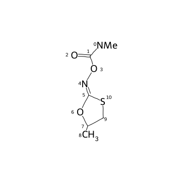 CNC(=O)O/N=C1/OC(C)CS1